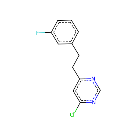 Fc1cccc(CCc2cc(Cl)ncn2)c1